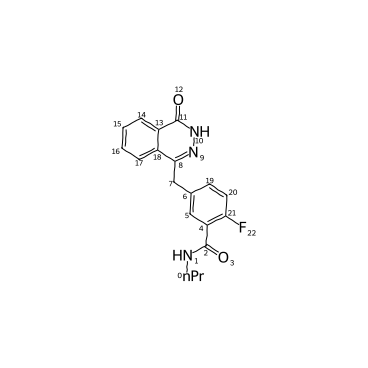 CCCNC(=O)c1cc(Cc2n[nH]c(=O)c3ccccc23)ccc1F